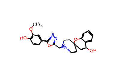 COc1cc(-c2nnc(CN3CCC4(CC3)CC(O)c3ccccc3O4)o2)ccc1O